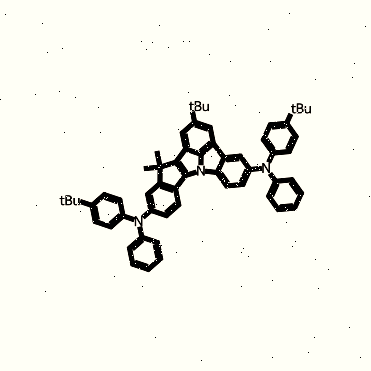 CC(C)(C)c1ccc(N(c2ccccc2)c2ccc3c(c2)C(C)(C)c2c-3n3c4ccc(N(c5ccccc5)c5ccc(C(C)(C)C)cc5)cc4c4cc(C(C)(C)C)cc2c43)cc1